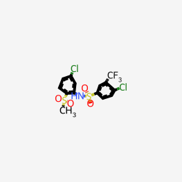 CS(=O)(=O)c1ccc(Cl)cc1NS(=O)(=O)c1ccc(Cl)c(C(F)(F)F)c1